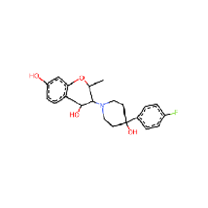 CC1Oc2cc(O)ccc2C(O)C1N1CCC(O)(c2ccc(F)cc2)CC1